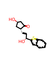 O=C1C[C@H](O)C[C@H]1/C=C/[C@@H](O)c1cc2ccccc2s1